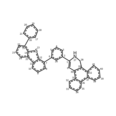 C1=C(c2cccc(-c3cccc4c3sc3c(-c5ccccc5)cccc34)c2)NCc2c1c1ccccc1c1ccccc21